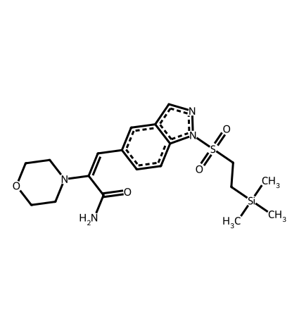 C[Si](C)(C)CCS(=O)(=O)n1ncc2cc(/C=C(\C(N)=O)N3CCOCC3)ccc21